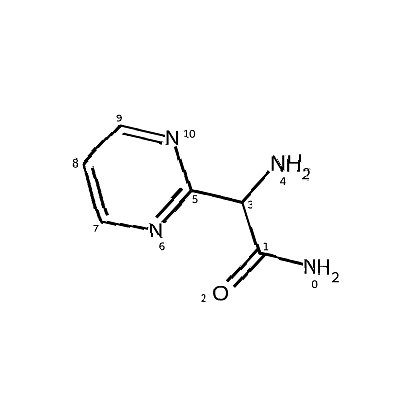 NC(=O)C(N)c1ncccn1